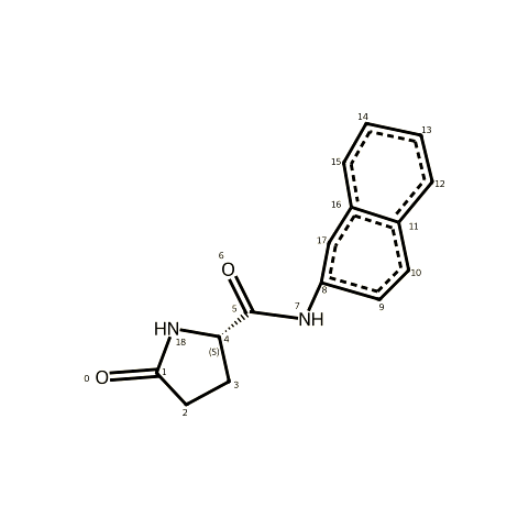 O=C1CC[C@@H](C(=O)Nc2ccc3ccccc3c2)N1